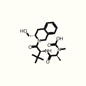 C[C@@H](C(=O)N[C@H](C(=O)N1Cc2ccccc2C[C@H]1CO)C(C)(C)C)N(C)C(=O)O